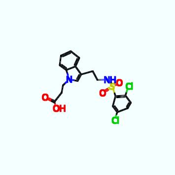 O=C(O)CCn1cc(CCNS(=O)(=O)c2cc(Cl)ccc2Cl)c2ccccc21